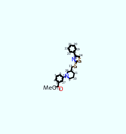 COC(=O)c1cccc(N2CCCC(CSc3nc(-c4ccccc4)cs3)C2)c1